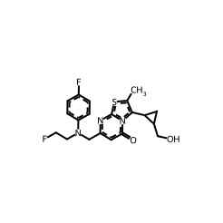 Cc1sc2nc(CN(CCF)c3ccc(F)cc3)cc(=O)n2c1C1CC1CO